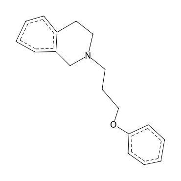 c1ccc(OCCCN2CCc3ccccc3C2)cc1